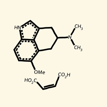 COc1ccc2[nH]cc3c2c1CC(N(C)C)C3.O=C(O)/C=C\C(=O)O